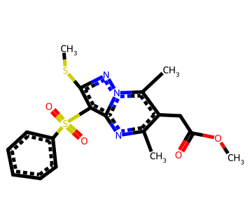 COC(=O)Cc1c(C)nc2c(S(=O)(=O)c3ccccc3)c(SC)nn2c1C